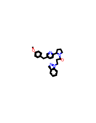 COc1ccc(Cc2ccc(C3CCCN3C(=O)CCn3ncc4ccccc43)nc2)cc1